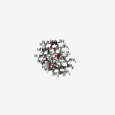 BB(B)B(B(B)B)B(B(/B=N/B(B(B(B(B)B)B(B)B)B(B(B)B)B(B)B)B(B(B(B(B)B)B(B)B)B(B(B)B)B(B)B)B(B(B(B)B)B(B)B)B(B(B)B)B(B)B)B(B(B(B)B)B(B)B)B(B(B)B)B(B)B)B(B(B)B)B(B)B